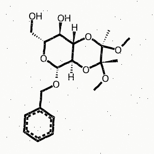 CO[C@]1(C)O[C@H]2[C@H](OCc3ccccc3)O[C@H](CO)[C@@H](O)[C@@H]2O[C@@]1(C)OC